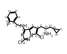 N[C@H](Cc1cc2c(NCc3ccccc3F)nc(Cl)nn2c1Cl)CC1CC1